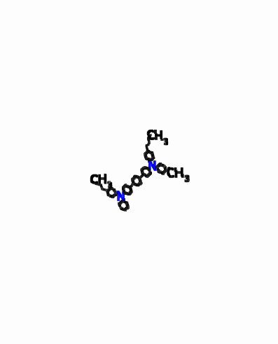 CCCCc1ccc(N(c2ccccc2)c2ccc(-c3ccc(-c4ccc(N(c5ccc(C)cc5)c5ccc(CCCC)cc5)cc4)cc3)cc2)cc1